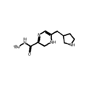 CC(C)(C)NC(=O)C1=NC=C(CC2CCNC2)NC1